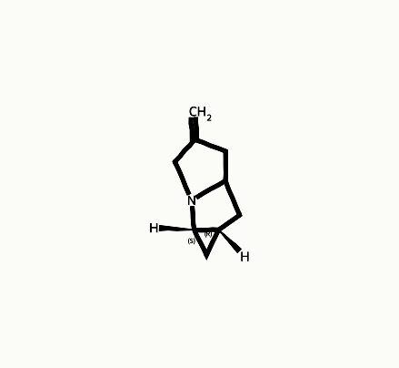 C=C1CC2C[C@@H]3C[C@@H]3N2C1